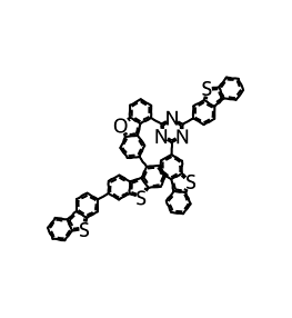 c1cc(-c2nc(-c3ccc4c(c3)sc3ccccc34)nc(-c3ccc4c(c3)sc3ccccc34)n2)c2c(c1)oc1ccc(-c3cccc4sc5cc(-c6ccc7c(c6)sc6ccccc67)ccc5c34)cc12